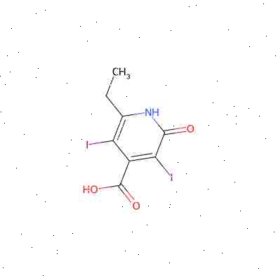 CCc1[nH]c(=O)c(I)c(C(=O)O)c1I